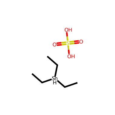 C[CH2][SnH]([CH2]C)[CH2]C.O=S(=O)(O)O